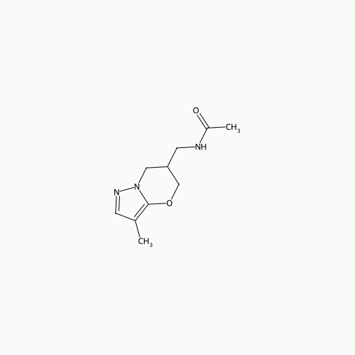 CC(=O)NCC1COc2c(C)cnn2C1